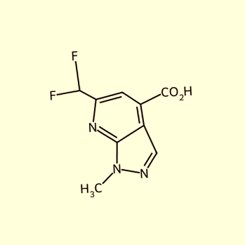 Cn1ncc2c(C(=O)O)cc(C(F)F)nc21